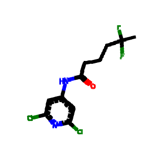 CC(F)(F)CCCC(=O)Nc1cc(Cl)nc(Cl)c1